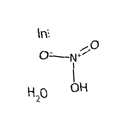 O.O=[N+]([O-])O.[In]